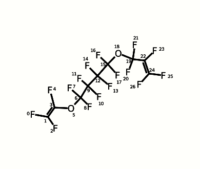 FC(F)=C(F)OC(F)(F)C(F)(F)C(F)(F)C(F)(F)OC(F)(F)C(F)=C(F)F